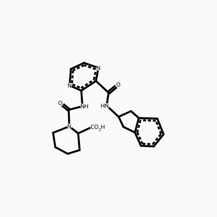 O=C(NC1Cc2ccccc2C1)c1nccnc1NC(=O)N1CCCCC1C(=O)O